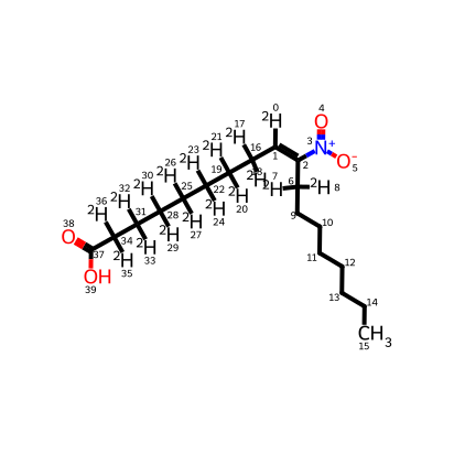 [2H]/C(=C(\[N+](=O)[O-])C([2H])([2H])CCCCCCC)C([2H])([2H])C([2H])([2H])C([2H])([2H])C([2H])([2H])C([2H])([2H])C([2H])([2H])C([2H])([2H])C(=O)O